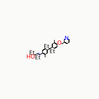 CCC(O)(/C=C/c1ccc(C(CC)(CC)c2ccc(OCc3cccnc3)c(C)c2)cc1C)CC